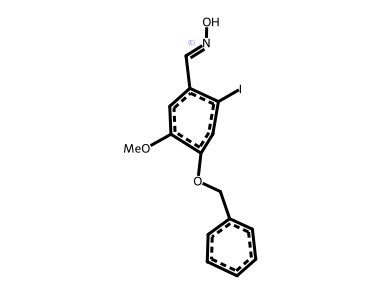 COc1cc(/C=N/O)c(I)cc1OCc1ccccc1